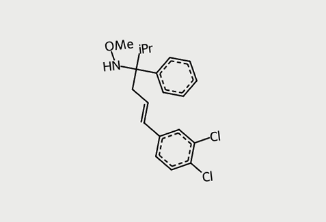 CONC(CC=Cc1ccc(Cl)c(Cl)c1)(c1ccccc1)C(C)C